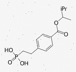 CC(C)C(C)OC(=O)c1ccc(CCP(=O)(O)O)cc1